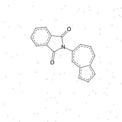 O=C1c2ccccc2C(=O)N1c1cccc2cccc-2c1